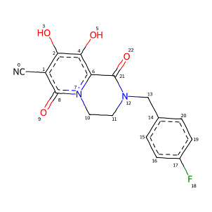 N#Cc1c(O)c(O)c2n(c1=O)CCN(Cc1ccc(F)cc1)C2=O